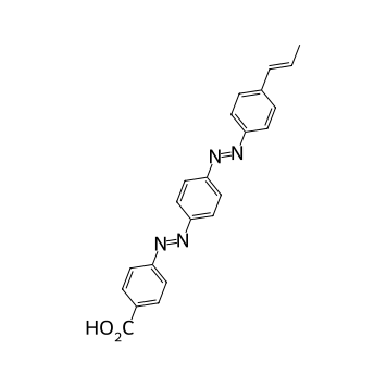 CC=Cc1ccc(N=Nc2ccc(N=Nc3ccc(C(=O)O)cc3)cc2)cc1